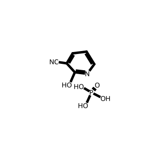 N#Cc1cccnc1O.O=P(O)(O)O